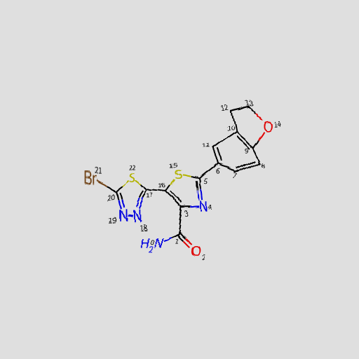 NC(=O)c1nc(-c2ccc3c(c2)CCO3)sc1-c1nnc(Br)s1